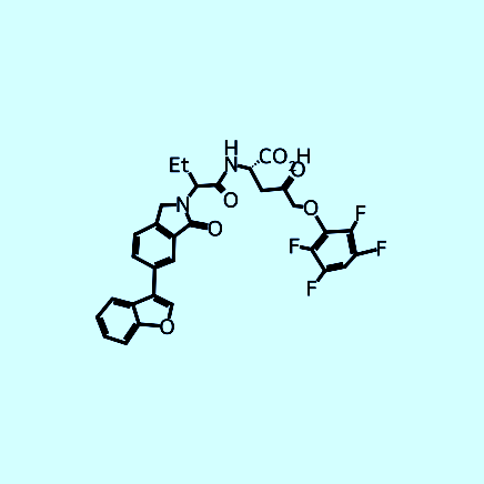 CCC(C(=O)N[C@@H](CC(=O)COc1c(F)c(F)cc(F)c1F)C(=O)O)N1Cc2ccc(-c3coc4ccccc34)cc2C1=O